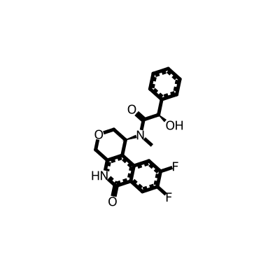 CN(C(=O)[C@H](O)c1ccccc1)[C@@H]1COCc2[nH]c(=O)c3cc(F)c(F)cc3c21